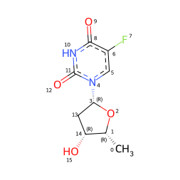 C[C@H]1O[C@@H](n2cc(F)c(=O)[nH]c2=O)C[C@H]1O